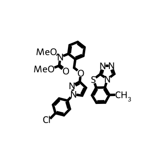 COC(=O)N(OC)c1ccccc1COc1ccn(-c2ccc(Cl)cc2)n1.Cc1cccc2sc3nncn3c12